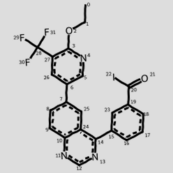 CCOc1ncc(-c2ccc3ncnc(-c4cccc(C(=O)I)c4)c3c2)cc1C(F)(F)F